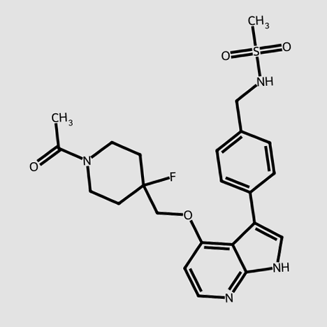 CC(=O)N1CCC(F)(COc2ccnc3[nH]cc(-c4ccc(CNS(C)(=O)=O)cc4)c23)CC1